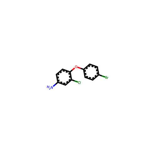 Nc1ccc(Oc2ccc(Br)cc2)c(Cl)c1